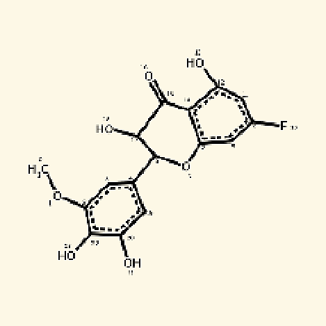 COc1cc(C2Oc3cc(F)cc(O)c3C(=O)C2O)cc(O)c1O